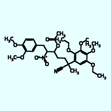 CCOc1cc(C(C)(C#N)CCC(OC(C)=O)C(Cc2ccc(OC)c(OC)c2)[N+](=O)[O-])c(OCC)c(OC)c1OC